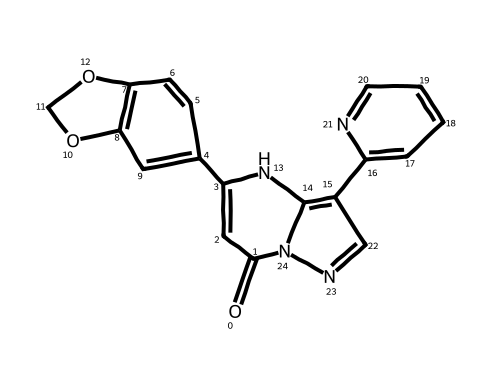 O=c1cc(-c2ccc3c(c2)OCO3)[nH]c2c(-c3ccccn3)cnn12